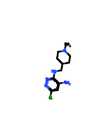 CN1CCC(CNc2nnc(Cl)cc2N)CC1